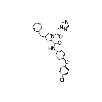 O=C(Nc1ccc(Oc2ccc(Cl)cc2)cc1)C1CC(Cc2ccccc2)CN1C(=O)Cn1cncn1